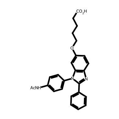 CC(=O)Nc1ccc(-n2c(-c3ccccc3)nc3ccc(OCCCCC(=O)O)cc32)cc1